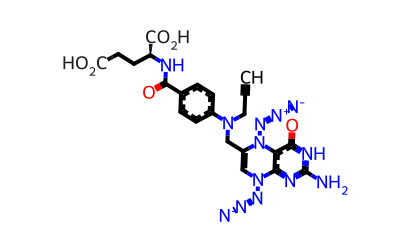 C#CCN(CC1=CN(N=[N+]=[N-])c2nc(N)[nH]c(=O)c2N1N=[N+]=[N-])c1ccc(C(=O)N[C@@H](CCC(=O)O)C(=O)O)cc1